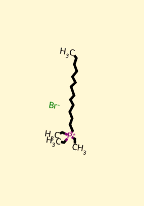 CCCCCCCCCCCCCC[P+](CC)(CC)CC.[Br-]